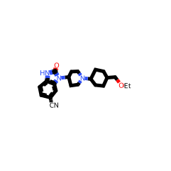 CCOCC1CCC(N2CCC(n3c(=O)[nH]c4ccc(C#N)cc43)CC2)CC1